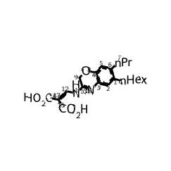 CCCCCCc1cc2c(cc1CCC)OCC(NC=C(C(=O)O)C(=O)O)=N2